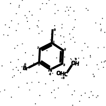 Cc1ccnc(Br)c1.O=CO